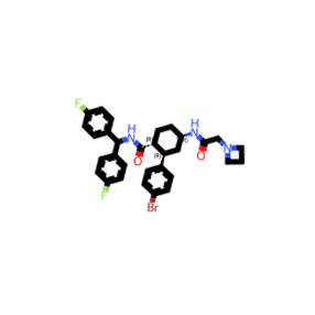 O=C(CN1CCC1)N[C@@H]1CC[C@@H](C(=O)NC(c2ccc(F)cc2)c2ccc(F)cc2)[C@H](c2ccc(Br)cc2)C1